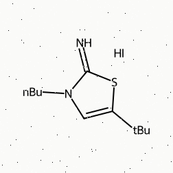 CCCCn1cc(C(C)(C)C)sc1=N.I